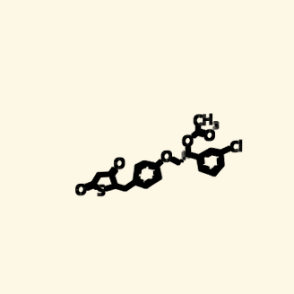 CC(=O)O[C@@H](COc1ccc(CC2SC(=O)CC2=O)cc1)c1cccc(Cl)c1